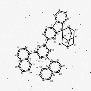 c1ccc2c(c1)-c1ccc(-c3nc(-c4cccc5ccccc45)nc(-c4cccc5ccccc45)n3)nc1C21C2CC3CC(C2)CC1C3